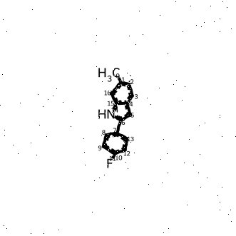 Cc1[c]cc2cc(-c3ccc(F)cc3)[nH]c2c1